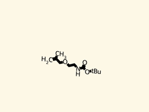 C=C(C)COCCNC(=O)OC(C)(C)C